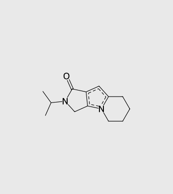 CC(C)N1Cc2c(cc3n2CCCC3)C1=O